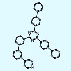 c1ccc(-c2ccc(-c3nc(-c4ccc(-c5ccccc5)cc4)nc(-c4cccc(-c5cccc(-c6ccncc6)c5)c4)n3)cc2)cc1